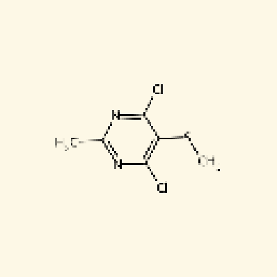 CSc1c(Cl)nc(C)nc1Cl